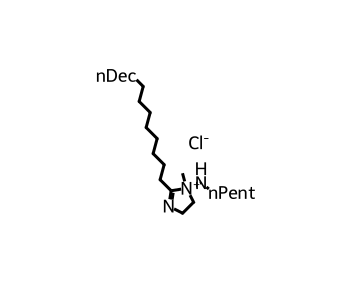 CCCCCCCCCCCCCCCCCCC1=NCC[N+]1(C)NCCCCC.[Cl-]